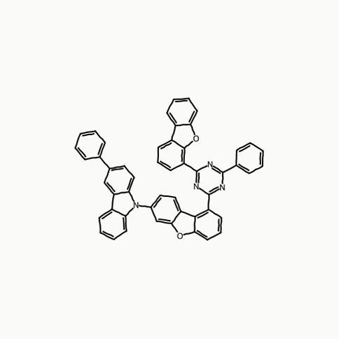 c1ccc(-c2ccc3c(c2)c2ccccc2n3-c2ccc3c(c2)oc2cccc(-c4nc(-c5ccccc5)nc(-c5cccc6c5oc5ccccc56)n4)c23)cc1